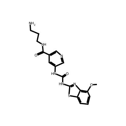 COc1cccc2sc(NC(=O)Nc3cncc(C(=O)NCCCN)c3)nc12